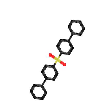 O=S(=O)(c1ccc(-c2cc[c]cc2)cc1)c1ccc(-c2ccccc2)cc1